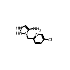 NC1=CNNN1Cc1ccc(Cl)cn1